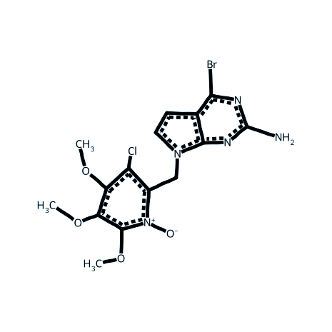 COc1c(Cl)c(Cn2ccc3c(Br)nc(N)nc32)[n+]([O-])c(OC)c1OC